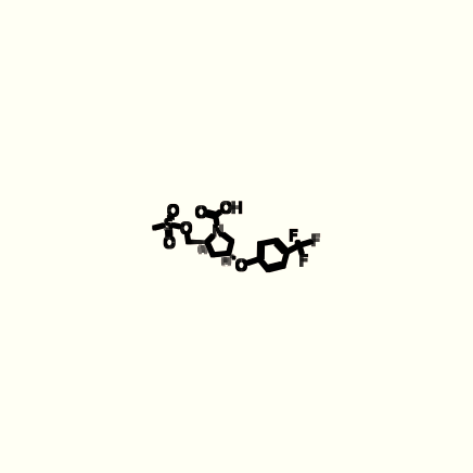 CS(=O)(=O)OC[C@@H]1C[C@@H](Oc2ccc(C(F)(F)F)cc2)CN1C(=O)O